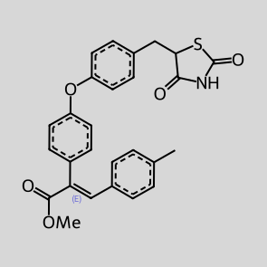 COC(=O)/C(=C/c1ccc(C)cc1)c1ccc(Oc2ccc(CC3SC(=O)NC3=O)cc2)cc1